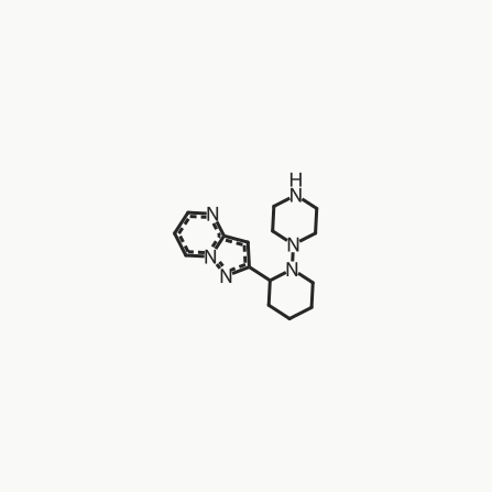 c1cnc2cc(C3CCCCN3N3CCNCC3)nn2c1